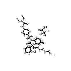 CCN(CC)C(=O)Nc1ccc(S(=O)(=O)N2C(=O)C(NCCOCCN)(c3ccccc3Cl)c3cc(Cl)ccc32)cc1.O=C(O)C(F)(F)F